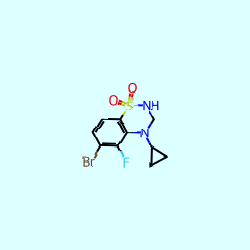 O=S1(=O)NCN(C2CC2)c2c1ccc(Br)c2F